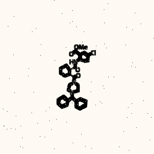 COC(=O)c1cc(Cl)ccc1NC(=O)[C@H]1CCCC[C@H]1C(=O)N1CCN(C(c2ccccc2)c2ccccc2)CC1